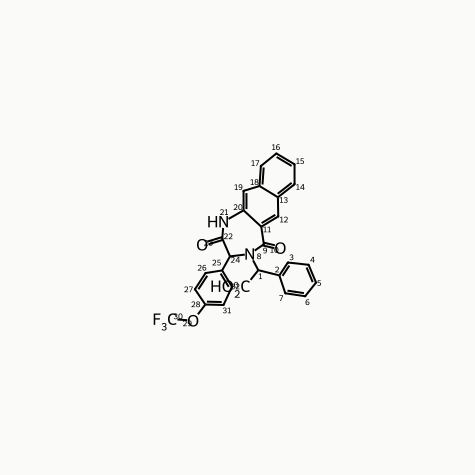 O=C(O)C(c1ccccc1)N1C(=O)c2cc3ccccc3cc2NC(=O)C1c1ccc(OC(F)(F)F)cc1